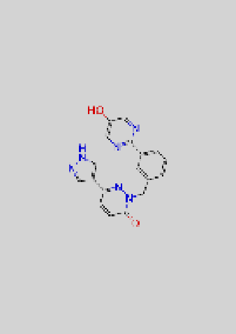 O=c1ccc(-c2cn[nH]c2)nn1Cc1cccc(-c2ncc(O)cn2)c1